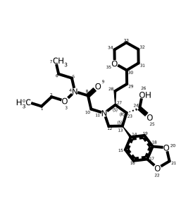 CCCON(CCC)C(=O)CN1C[C@H](c2ccc3c(c2)OCO3)[C@@H](C(=O)O)[C@@H]1CCC1CCCCO1